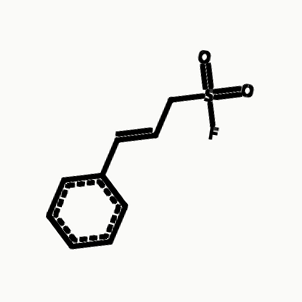 O=S(=O)(F)CC=Cc1ccccc1